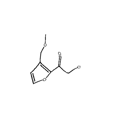 COCc1ccoc1C(=O)CCl